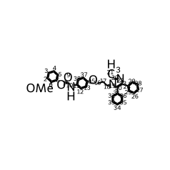 COc1ccccc1OC(=O)Nc1ccc(OCCCn2c(C)nc(-c3ccccc3)c2-c2ccccc2)cc1